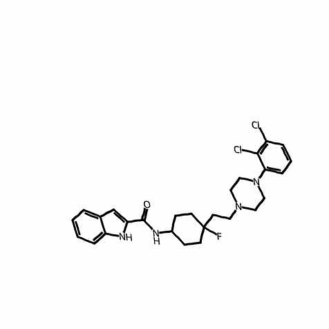 O=C(NC1CCC(F)(CCN2CCN(c3cccc(Cl)c3Cl)CC2)CC1)c1cc2ccccc2[nH]1